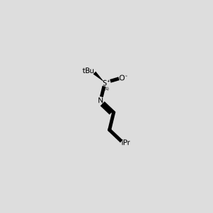 CC(C)CC=N[S@+]([O-])C(C)(C)C